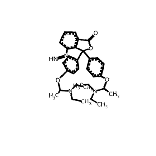 CCN(CC)C(C)Oc1ccc(C2(c3ccc(OC(C)N(CC)CC)cc3)OC(=O)c3cccc(N=N)c32)cc1